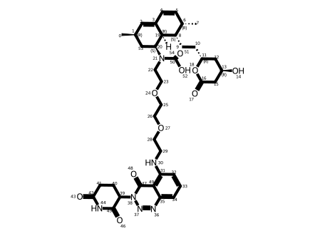 C[C@H]1C=C2C=C[C@H](C)[C@H](CC[C@@H]3C[C@@H](O)CC(=O)O3)[C@H]2[C@@H](N(CCOCCOCCNc2cccc3nnn(C4CCC(=O)NC4=O)c(=O)c23)C(=O)O)C1